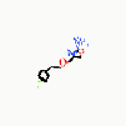 NC1=NC(COCCc2ccc(F)cc2)CO1